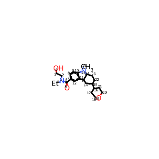 CCN(CCO)C(=O)c1ccc2c(c1)C1CC(C3CCOCC3)CCC1N2C